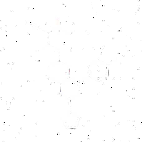 C#CC(C(O)CC(=O)Oc1c(-c2ccc(F)cc2)cc(-c2cccs2)nc1C(C)C)[PH](=O)O